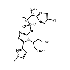 COCC(COC)n1c(NS(=O)(=O)[C@@H](C)[C@H](OC)c2ncc(Cl)cn2)nnc1-c1ccn(C)n1